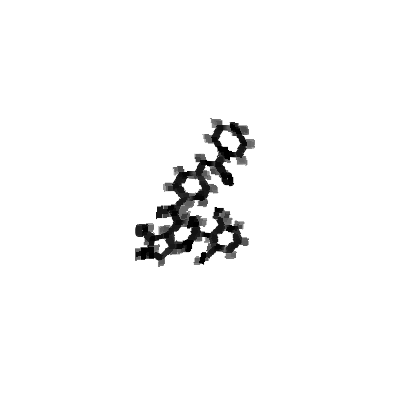 O=C1NCc2nc(-c3c(F)cccc3F)nc(Nc3ccc(CC(=O)N4CCSCC4)cc3)c21